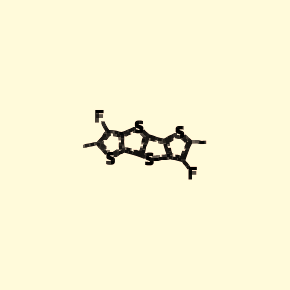 Cc1sc2c(sc3c4sc(C)c(F)c4sc23)c1F